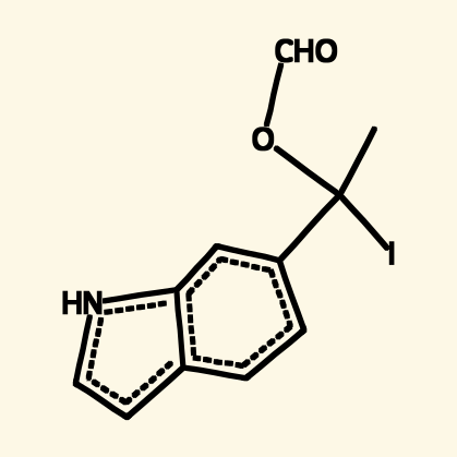 CC(I)(OC=O)c1ccc2cc[nH]c2c1